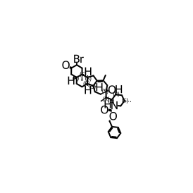 CC1=C2C[C@H]3[C@@H](CC[C@@H]4CC(=O)C(Br)C[C@@]43C)[C@@H]2CC[C@@]2(C1)O[C@@H]1C[C@H](C)CN(C(=O)OCc3ccccc3)[C@H]1[C@H]2C